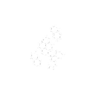 c1ccc2c(-c3ccc4ccc5c(-c6cccc7ccccc67)cc(-n6c7ccccc7c7ccccc76)c6ccc3c4c56)cccc2c1